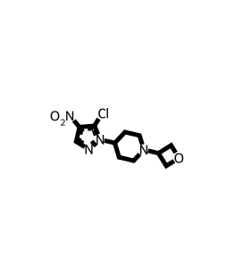 O=[N+]([O-])c1cnn(C2CCN(C3COC3)CC2)c1Cl